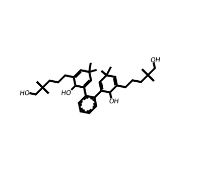 CC1(C)C=C(CCCC(C)(C)CO)C(O)C(c2ccccc2C2=CC(C)(C)C=C(CCCC(C)(C)CO)C2O)=C1